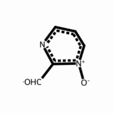 O=[C]c1nccc[n+]1[O-]